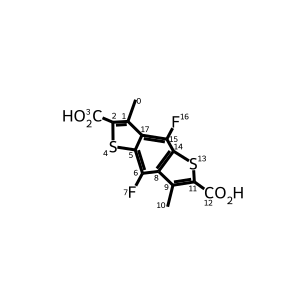 Cc1c(C(=O)O)sc2c(F)c3c(C)c(C(=O)O)sc3c(F)c12